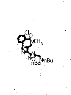 CCCCN(CCCC)Cc1nc(-c2ncn3c2CN(C)C(=O)c2c(Cl)cccc2-3)no1